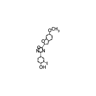 COc1ccc2cc(-c3nc(-c4ccc(O)c(I)c4)no3)oc2c1